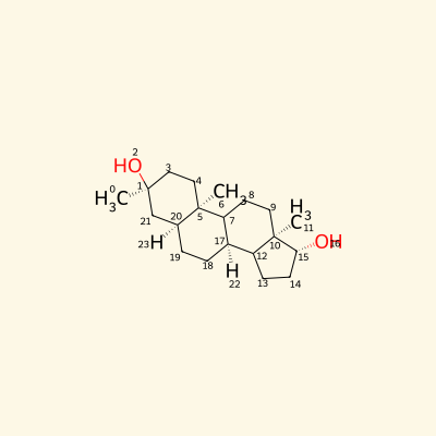 C[C@]1(O)CC[C@@]2(C)C3CC[C@]4(C)C(CC[C@H]4O)[C@H]3CC[C@H]2C1